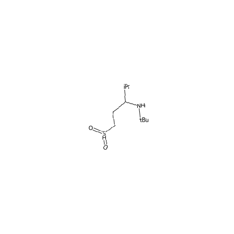 CC(C)C(CC[SH](=O)=O)NC(C)(C)C